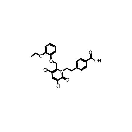 CCOc1ccccc1OCc1c(Cl)cc(Cl)c(=O)n1CCc1ccc(C(=O)O)cc1